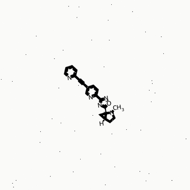 CN1CC[C@@H]2C[C@@]21c1nc(-c2ccc(C#Cc3ccccn3)cn2)no1